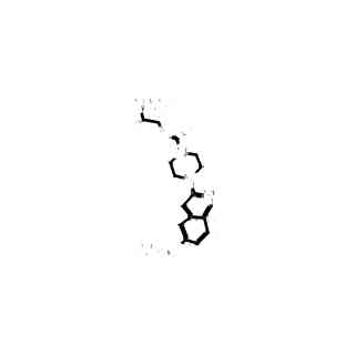 CNC(=O)COC(=O)N1CCN(c2cc3cc(OC)ccc3cn2)CC1